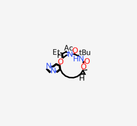 CC[C@@H]1[C@@H]2CN(C(=O)[C@H](C(C)(C)C)NC(=O)O[C@]3(C)C[C@H]3CCCCCc3cn4ccnc4cc3O2)[C@@H]1C(C)=O